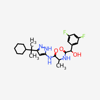 CC(NC(=O)C(O)c1cc(F)cc(F)c1)C(=O)Nc1cc(C(C)(C)C2CCCCC2)n[nH]1